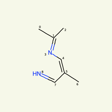 CC(C)=N/C=C(/C)C=N